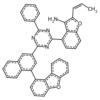 C/C=C\c1oc2cccc(-c3nc(-c4ccccc4)nc(-c4cc(-c5cccc6oc7ccccc7c56)c5ccccc5c4)n3)c2c1N